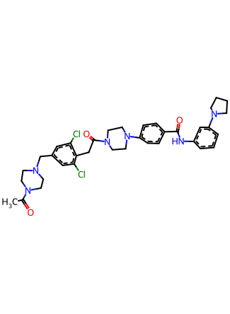 CC(=O)N1CCN(Cc2cc(Cl)c(CC(=O)N3CCN(c4ccc(C(=O)Nc5cccc(N6CCCC6)c5)cc4)CC3)c(Cl)c2)CC1